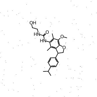 COc1c(C)c(NC(=O)NCCO)c(C)c2c1OCC2c1ccc(C(C)C)cc1